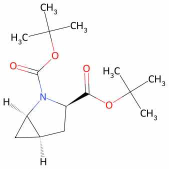 CC(C)(C)OC(=O)[C@H]1C[C@H]2C[C@H]2N1C(=O)OC(C)(C)C